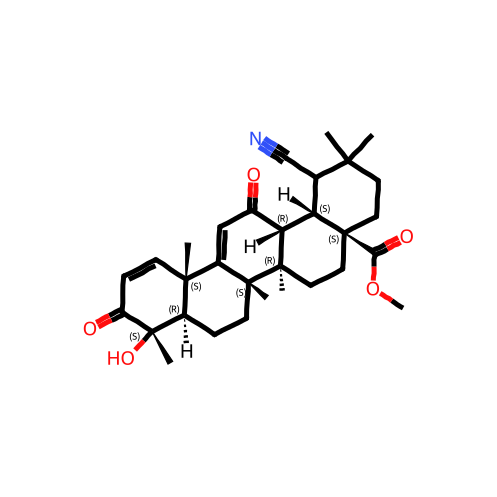 COC(=O)[C@]12CCC(C)(C)C(C#N)[C@H]1[C@H]1C(=O)C=C3[C@@]4(C)C=CC(=O)[C@@](C)(O)[C@@H]4CC[C@@]3(C)[C@]1(C)CC2